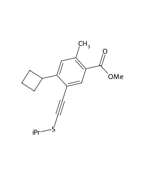 COC(=O)c1cc(C#CSC(C)C)c(C2CCC2)cc1C